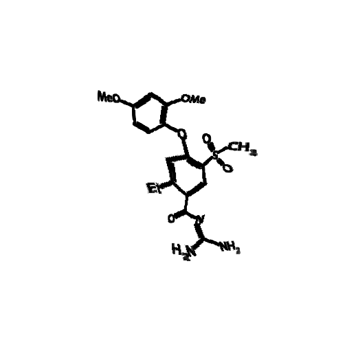 CCc1cc(Oc2ccc(OC)cc2OC)c(S(C)(=O)=O)cc1C(=O)N=C(N)N